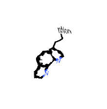 CCCCCCCCCCCc1ccnc2c1ccc1cccnc12